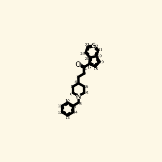 O=C(CCC1CCN(Cc2ccccc2)CC1)c1ccc2csccc1-2